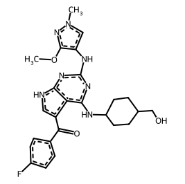 COc1nn(C)cc1Nc1nc(NC2CCC(CO)CC2)c2c(C(=O)c3ccc(F)cc3)c[nH]c2n1